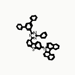 c1ccc(-c2cc(-c3ccccc3)cc(-c3nc(-c4ccccc4)nc(-c4cccc5sc6cc(-n7c8ccc9ccccc9c8c8c9ccccc9ccc87)ccc6c45)n3)c2)cc1